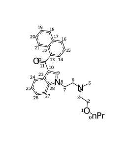 CCCOCCN(C)CCn1cc(C(=O)c2cccc3ccccc23)c2ccccc21